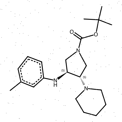 Cc1cccc(N[C@H]2CN(C(=O)OC(C)(C)C)C[C@@H]2N2CCCCC2)c1